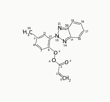 C=CC(=O)OOc1ccc(C)cc1-n1nc2ccccc2n1